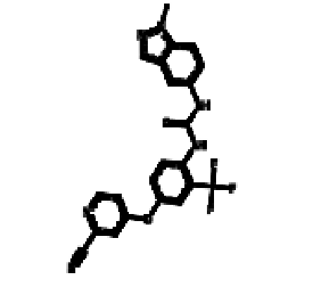 Cn1ncc2cc(NC(=O)Nc3ccc(Oc4ccnc(C#N)c4)cc3C(F)(F)F)ccc21